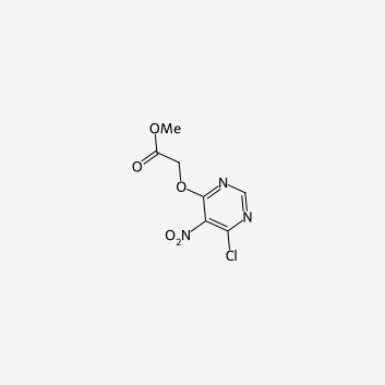 COC(=O)COc1ncnc(Cl)c1[N+](=O)[O-]